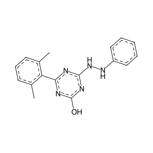 Cc1cccc(C)c1-c1nc(O)nc(NNc2ccccc2)n1